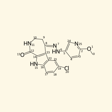 COc1ccc(N/N=C2/CCNC(=O)c3[nH]c4ccc(Cl)cc4c32)cn1